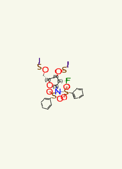 O=S(=O)(c1ccccc1)N([C@H]1O[C@H](COSI)[C@@H](OSI)[C@@H]1F)S(=O)(=O)c1ccccc1